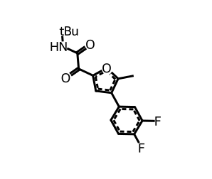 Cc1oc(C(=O)C(=O)NC(C)(C)C)cc1-c1ccc(F)c(F)c1